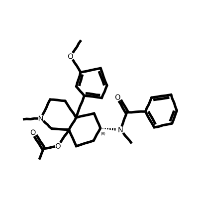 COc1cccc(C23CCN(C)CC2(OC(C)=O)CC[C@@H](N(C)C(=O)c2ccccc2)C3)c1